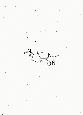 C=N[C@@H]1CC[C@H](c2nc(C)no2)C1(C)C